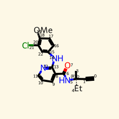 C#C[C@@](C)(CC)NC(=O)c1cccnc1Nc1ccc(OC)c(Cl)c1